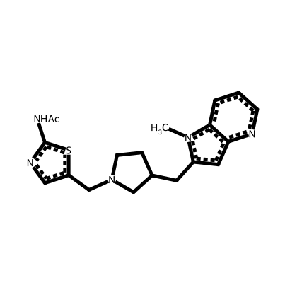 CC(=O)Nc1ncc(CN2CCC(Cc3cc4ncccc4n3C)C2)s1